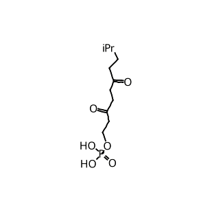 CC(C)CCC(=O)CCC(=O)CCOP(=O)(O)O